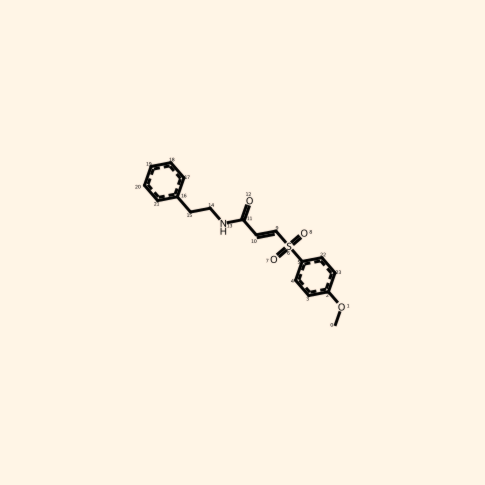 COc1ccc(S(=O)(=O)/C=C/C(=O)NCCc2ccccc2)cc1